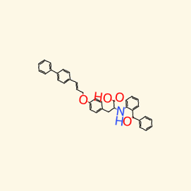 O=C(c1ccccc1)c1ccccc1NC(Cc1ccc(OCC=Cc2ccc(-c3ccccc3)cc2)cc1)C(=O)O